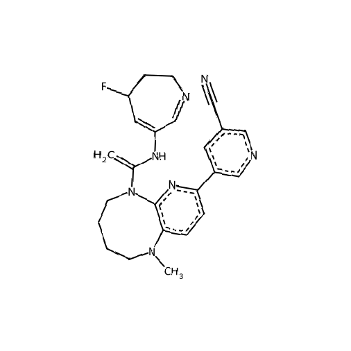 C=C(NC1=CC(F)CCN=C1)N1CCCCN(C)c2ccc(-c3cncc(C#N)c3)nc21